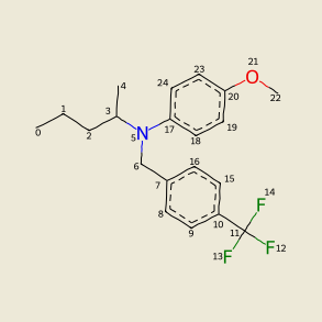 CCCC(C)N(Cc1ccc(C(F)(F)F)cc1)c1ccc(OC)cc1